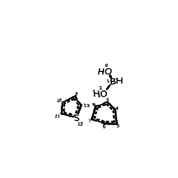 OBO.c1ccccc1.c1ccsc1